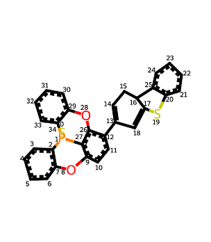 S=P12c3ccccc3Oc3ccc(C4=CCC5C(=C4)Sc4ccccc45)c(c31)Oc1ccccc12